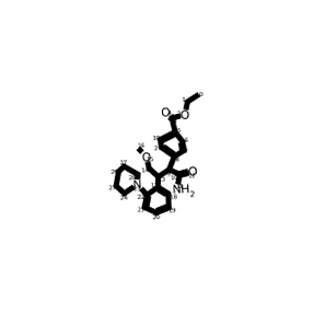 CCOC(=O)c1ccc(C(C(N)=O)C(COC)c2ccccc2N2CCCCC2)cc1